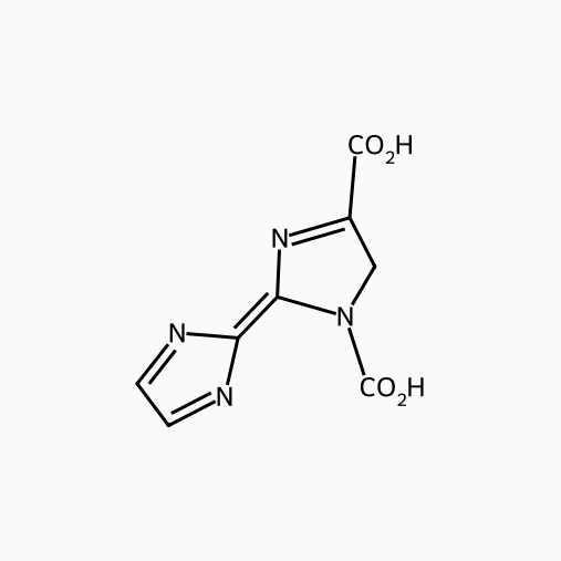 O=C(O)C1=NC(=C2N=CC=N2)N(C(=O)O)C1